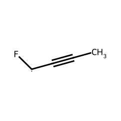 CC#C[CH]F